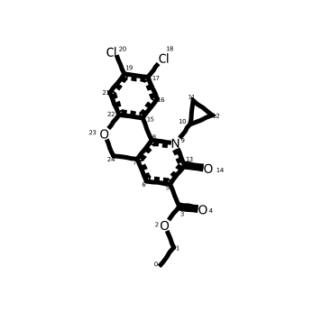 CCOC(=O)c1cc2c(n(C3CC3)c1=O)-c1cc(Cl)c(Cl)cc1OC2